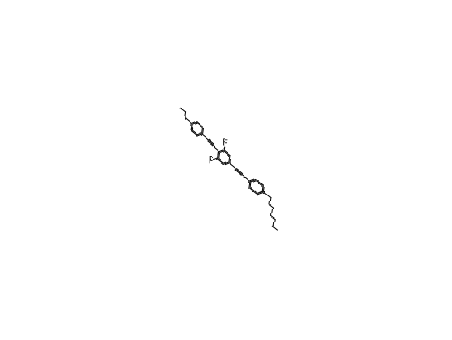 CCCCCCCc1ccc(C#Cc2cc(F)c(C#Cc3ccc(CCC)cc3)c(F)c2)cc1